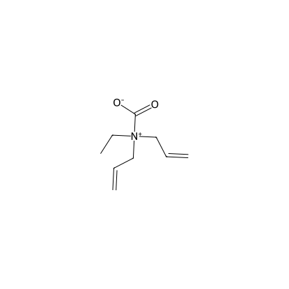 C=CC[N+](CC)(CC=C)C(=O)[O-]